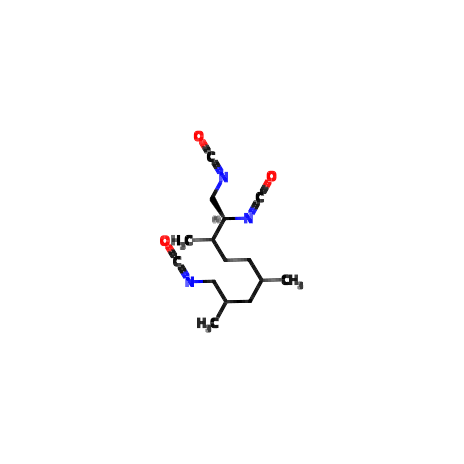 CC(CCC(C)[C@@H](CN=C=O)N=C=O)CC(C)CN=C=O